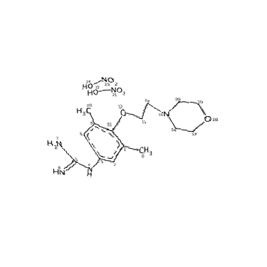 Cc1cc(NC(=N)N)cc(C)c1OCCN1CCOCC1.O=[N+]([O-])O.O=[N+]([O-])O